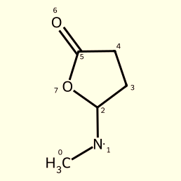 C[N]C1CCC(=O)O1